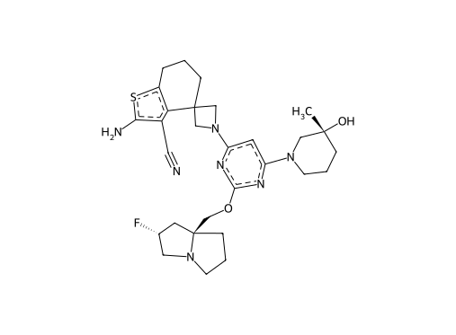 C[C@@]1(O)CCCN(c2cc(N3CC4(CCCc5sc(N)c(C#N)c54)C3)nc(OC[C@@]34CCCN3C[C@H](F)C4)n2)C1